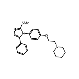 CSc1ncc(-c2ccccc2)n1-c1ccc(OCCN2CCCCC2)cc1